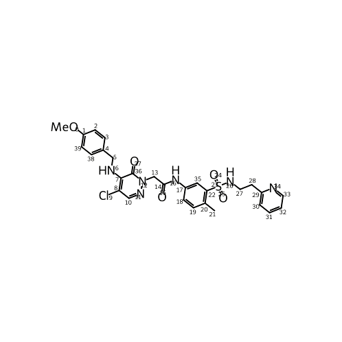 COc1ccc(CNc2c(Cl)cnn(CC(=O)Nc3ccc(C)c(S(=O)(=O)NCCc4ccccn4)c3)c2=O)cc1